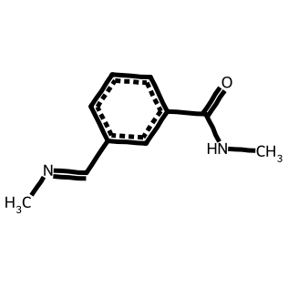 CN=Cc1cccc(C(=O)NC)c1